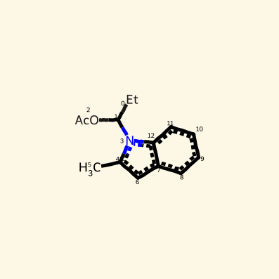 CCC(OC(C)=O)n1c(C)cc2ccccc21